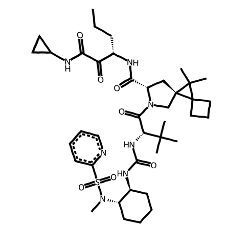 CCC[C@H](NC(=O)[C@@H]1C[C@@]2(CN1C(=O)[C@@H](NC(=O)N[C@H]1CCCC[C@@H]1N(C)S(=O)(=O)c1ccccn1)C(C)(C)C)C(C)(C)C21CCC1)C(=O)C(=O)NC1CC1